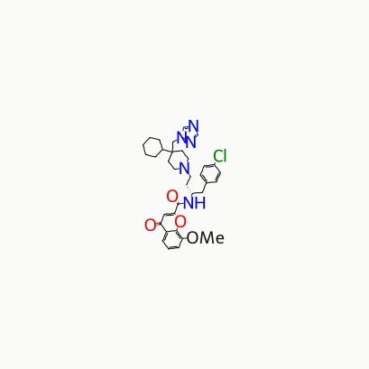 COc1cccc2c(=O)cc(C(=O)N[C@H](CCN3CCC(Cn4cncn4)(C4CCCCC4)CC3)Cc3ccc(Cl)cc3)oc12